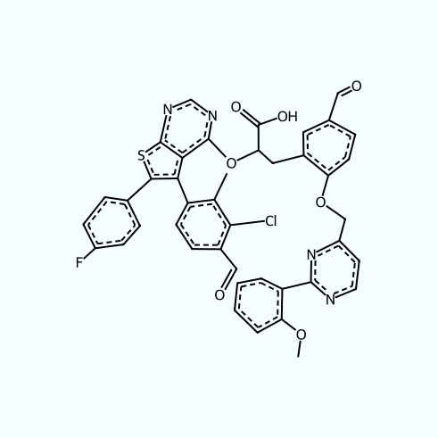 COc1ccccc1-c1nccc(COc2ccc(C=O)cc2CC(Oc2ncnc3sc(-c4ccc(F)cc4)c(-c4ccc(C=O)c(Cl)c4C)c23)C(=O)O)n1